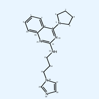 c1ccc2c(N3CCCC3)nc(NCCCn3ccnc3)nc2c1